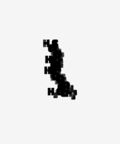 C=CC(=O)N1CCC[C@@H](Nc2nc(Nc3ccc4c(c3)CCN(C(=O)OC(C)(C)C)C4)ncc2F)C1